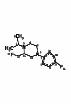 CC(C)N1CCN(c2ccc(F)cc2)CC1CF